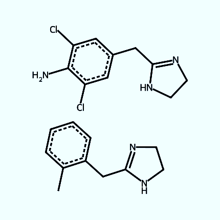 Cc1ccccc1CC1=NCCN1.Nc1c(Cl)cc(CC2=NCCN2)cc1Cl